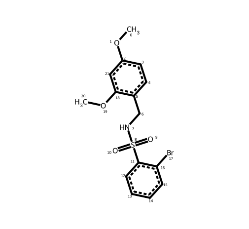 COc1ccc(CNS(=O)(=O)c2ccccc2Br)c(OC)c1